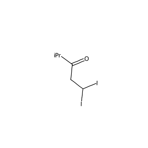 CC(C)C(=O)CC(I)I